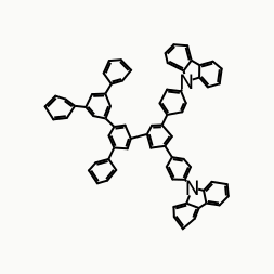 c1ccc(-c2cc(-c3ccccc3)cc(-c3cc(-c4ccccc4)cc(-c4cc(-c5ccc(-n6c7ccccc7c7ccccc76)cc5)cc(-c5ccc(-n6c7ccccc7c7ccccc76)cc5)c4)c3)c2)cc1